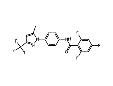 Cc1cc(C(F)(F)I)nn1-c1ccc(NC(=O)c2c(F)cc(F)cc2F)cc1